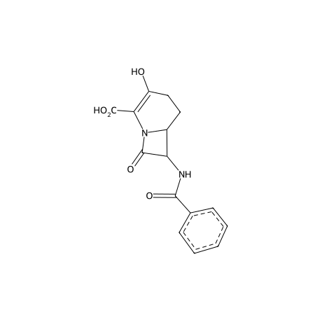 O=C(O)C1=C(O)CCC2C(NC(=O)c3ccccc3)C(=O)N12